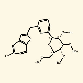 CCCCOC[C@H]1O[C@@H](c2cccc(Cc3cc4cc(Cl)ccc4s3)c2)[C@H](OCCCC)C(OCCCC)[C@@H]1OCCCC